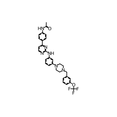 CC(=O)Nc1ccc(-c2ccnc(Nc3cccc(N4CCN(Cc5cccc(OC(F)(F)F)c5)CC4)c3)n2)cc1